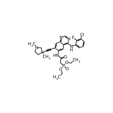 CCOP(=O)(CC(=O)Nc1cc2c(Nc3cccc(Cl)c3F)ncnc2cc1C#C[C@@]1(C)CCN(C)C1)OCC